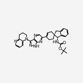 CC(C)(C)OC(=O)N[C@@H]1c2ccccc2C[C@@]12CC=C(c1cnc3c(N4CCCc5ncccc54)n[nH]c3n1)CC2